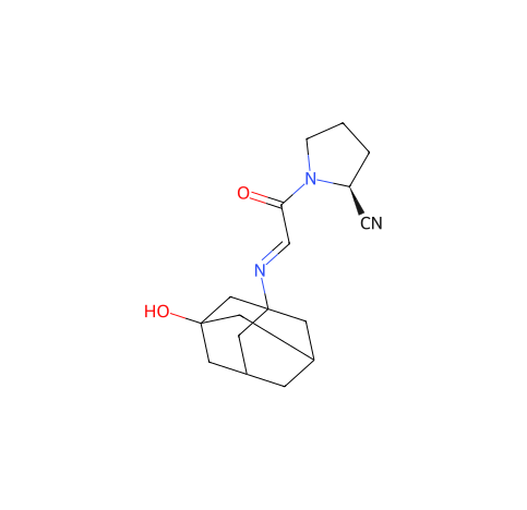 N#C[C@@H]1CCCN1C(=O)C=NC12CC3CC(CC(O)(C3)C1)C2